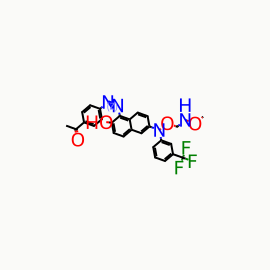 CONCON(c1cccc(C(F)(F)F)c1)c1ccc2c(/N=N\c3ccc(C(C)=O)cc3)c(O)ccc2c1